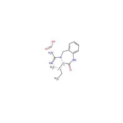 CC[C@H](C)[C@H]1C(=O)Nc2ccccc2CN1C(=N)N.O=CO